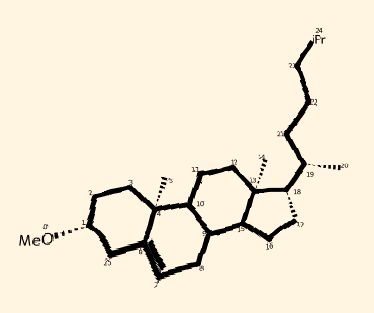 CO[C@@H]1CC[C@]2(C)C(=CCC3C2CC[C@]2(C)C3CC[C@H]2[C@@H](C)CCCC(C)C)C1